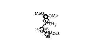 CCCCCCCCC(=O)NC(CC(C)C)C(=O)NC(CO)CCC(=O)N(C)Cc1ccc(OC)cc1OC